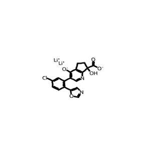 O=C([O-])C1(O)CCc2c1ncc(-c1cc(Cl)ccc1-c1cnco1)c2[O-].[Li+].[Li+]